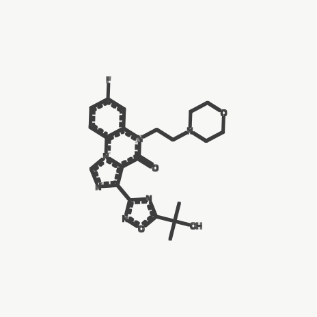 CC(C)(O)c1nc(-c2ncn3c2c(=O)n(CCN2CCOCC2)c2cc(F)ccc23)no1